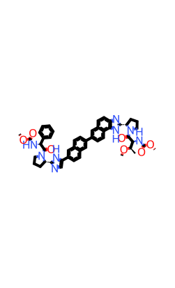 COC(=O)N[C@H](C(=O)N1CCC[C@H]1c1nc2ccc3cc(-c4ccc5cc(-c6cnc([C@@H]7CCCN7C(=O)[C@H](NC(=O)OC)c7ccccc7)[nH]6)ccc5c4)ccc3c2[nH]1)[C@@H](C)OC